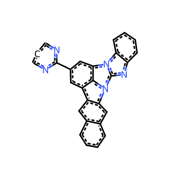 c1cnc(-c2cc3c4cc5ccccc5cc4n4c3c(c2)n2c3ccccc3nc24)nc1